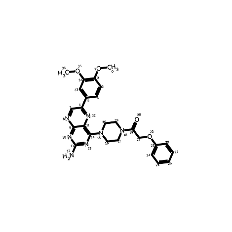 COc1ccc(-c2cnc3nc(N)nc(N4CCN(C(=O)COc5ccccc5)CC4)c3n2)cc1OC